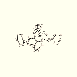 CC(c1cc(-c2ccccc2)nc2ccccc12)N1CCC(N2CCOCC2)CC1.Cl.Cl